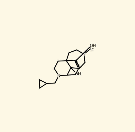 CC(=O)N1CCC23CCN(CC4CC4)C(Cc4ccc(O)cc42)C3(O)CC1